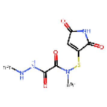 CCCNNC(=O)C(=O)N(CCC)SC1=CC(=O)NC1=O